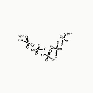 O=S(=O)([O-])[O-].O=S(=O)([O-])[O-].O=S(=O)([O-])[O-].O=S(=O)([O-])[O-].O=S(=O)([O-])[O-].[V+5].[V+5]